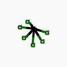 [Cl][Rh]([Cl])([Cl])([Cl])([Cl])[Cl]